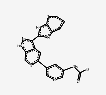 CCC(=O)Nc1cncc(-c2cc3c(-c4nc5cccnc5[nH]4)n[nH]c3cn2)c1